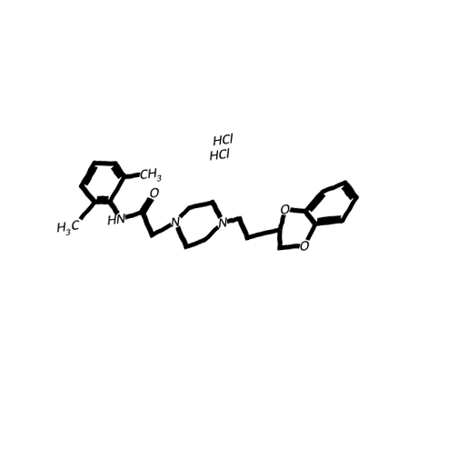 Cc1cccc(C)c1NC(=O)CN1CCN(CCC2COc3ccccc3O2)CC1.Cl.Cl